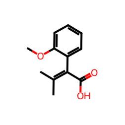 COc1ccccc1C(C(=O)O)=C(C)C